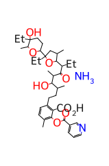 CCC(C(=O)C(C)C(O)C(C)CCc1ccc(C)c(OC(=O)c2cccnc2)c1C(=O)O)C1OC(CC)(C2CCC(O)(CC)C(C)O2)CC1C.N